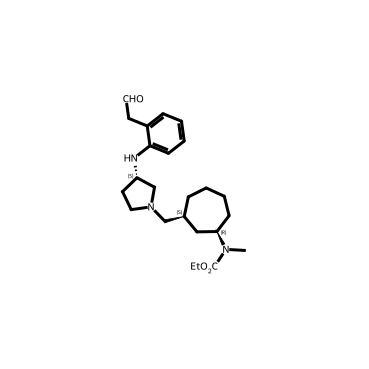 CCOC(=O)N(C)[C@@H]1CCCC[C@H](CN2CC[C@H](Nc3ccccc3CC=O)C2)C1